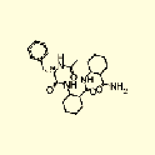 CC(=O)N[C@@H](Cc1ccccc1)C(=O)NC1CCCCC1C(=O)NC1CCCCC1C(N)=O